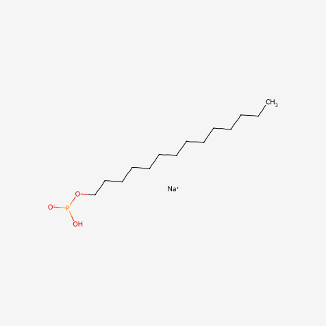 CCCCCCCCCCCCCCOP([O-])O.[Na+]